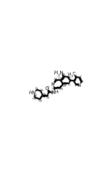 Cc1ccncc1-c1cc(N)c2cnc(NC(=O)C=C3CCNCC3)cc2c1